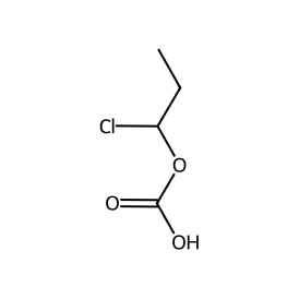 CCC(Cl)OC(=O)O